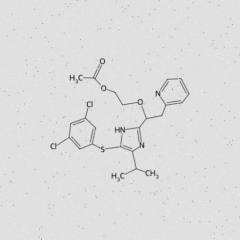 CC(=O)OCCOC(Cc1ccccn1)c1nc(C(C)C)c(Sc2cc(Cl)cc(Cl)c2)[nH]1